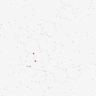 c1ccc(-c2ccc(N(c3ccc4c(c3)Sc3c(ccc5ccccc35)C43c4ccccc4-c4ccccc43)c3ccccc3-c3ccccc3)cc2)cc1